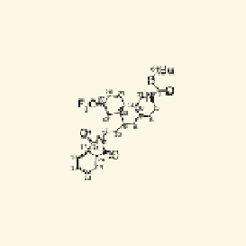 CC(C)(C)OC(=O)N1CCC(CC(CCN2C(=O)c3ccccc3C2=O)c2cccc(C(F)(F)F)c2)CC1